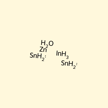 O.[InH3].[SnH2].[SnH2].[Zn]